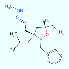 CC[C@@]1(C)C[C@@](C/C=N/NC)(CC(C)C)N(Cc2ccccc2)O1